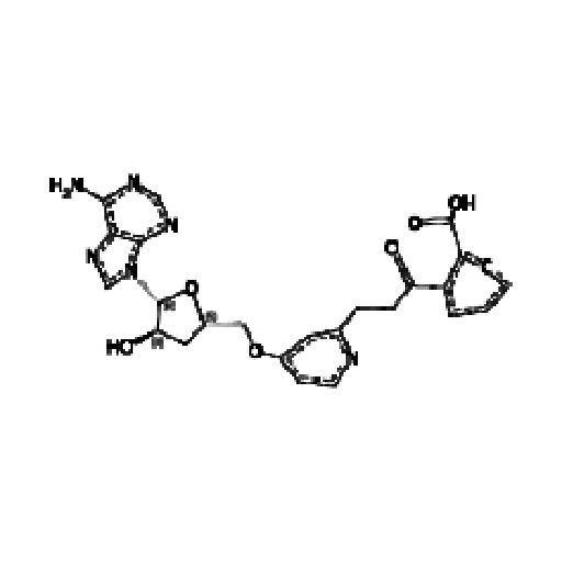 Nc1ncnc2c1ncn2[C@@H]1O[C@H](COc2ccnc(CCC(=O)c3ccccc3C(=O)O)c2)C[C@H]1O